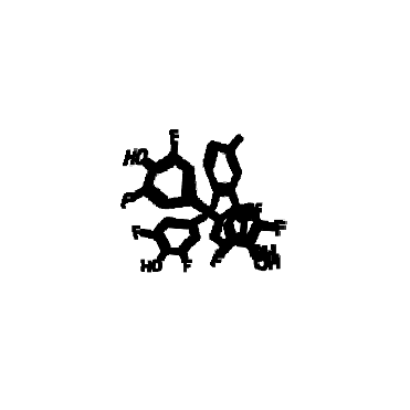 Cc1ccc(C(c2cc(F)c(O)c(F)c2)(c2cc(F)c(O)c(F)c2)c2cc(F)c(O)c(F)c2)c(-c2cc(F)c(O)c(F)c2)c1